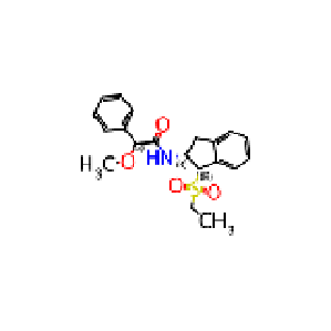 CCS(=O)(=O)[C@@H]1c2ccccc2C[C@H]1NC(=O)[C@@H](OC)c1ccccc1